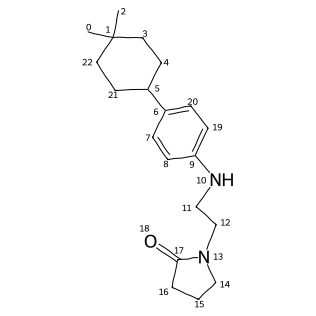 CC1(C)CCC(c2ccc(NCCN3CCCC3=O)cc2)CC1